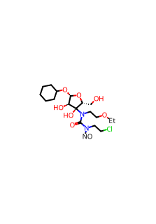 CCOCCN(C(=O)N(CCCl)N=O)[C@@]1(O)[C@@H](CO)O[C@H](OC2CCCCC2)[C@@H]1O